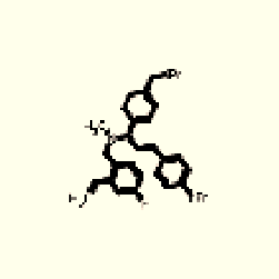 C=Cc1cc(F)ccc1CN(C)C(CCc1ccc(CCC)cc1)C1=CC=C(CC(C)C)CC1